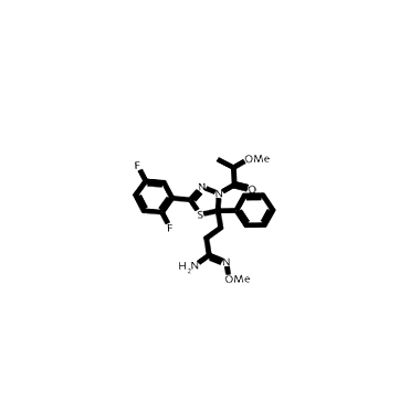 CON=C(N)CCC1(c2ccccc2)SC(c2cc(F)ccc2F)=NN1C(=O)C(C)OC